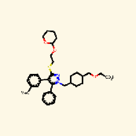 COc1cccc(-c2c(SCCOC3CCCCO3)nn(CC3CCC(COCC(=O)O)CC3)c2-c2ccccc2)c1